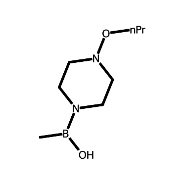 CCCON1CCN(B(C)O)CC1